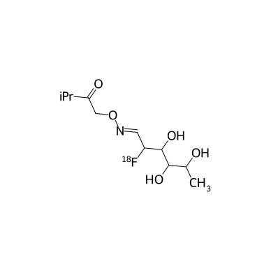 CC(C)C(=O)CON=CC([18F])C(O)C(O)C(C)O